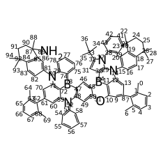 Cc1cccc(C)c1-c1cc2c3c(c1)N(c1ccc4c(c1)C(C)(C)CCC4(C)C)c1c(cc(C(C)(C)C)n1-c1ccccc1)B3c1cc3c(cc1O2)N(c1ccccc1)c1cc(-c2c(C)cccc2C)cc2c1B3c1ccccc1N2c1ccc2c(c1)C(C)(N)CCC2(C)C